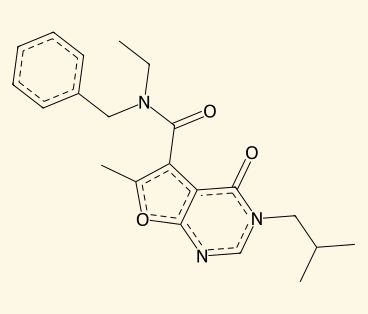 CCN(Cc1ccccc1)C(=O)c1c(C)oc2ncn(CC(C)C)c(=O)c12